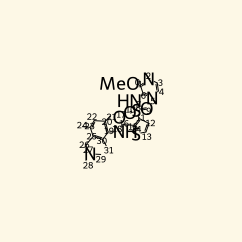 COc1nccnc1NS(=O)(=O)c1ccsc1C(=O)Nc1c(C)cc(C)c(CN(C)C)c1C